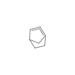 C1=CC2CCC=1C2